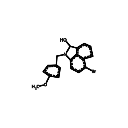 COc1ccc(CN2c3ccc(Br)c4cccc(c34)C2O)cc1